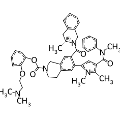 Cc1c(C(=O)N(C)c2ccccc2)cc(-c2cc3c(cc2C(=O)N2Cc4ccccc4C[C@H]2C)CN(C(=O)Oc2ccccc2OCCN(C)C)CC3)n1C